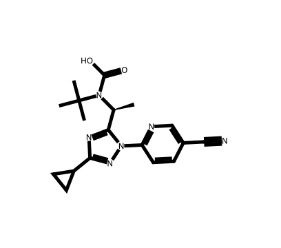 C[C@@H](c1nc(C2CC2)nn1-c1ccc(C#N)cn1)N(C(=O)O)C(C)(C)C